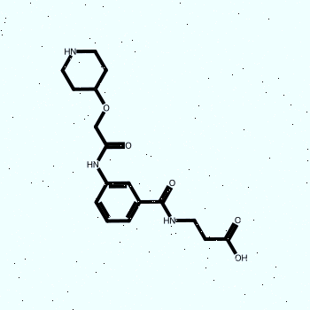 O=C(O)CCNC(=O)c1cccc(NC(=O)COC2CCNCC2)c1